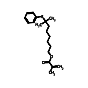 C=C(C)C(=O)OCCCCCCC(C)(C)Sc1ccccc1